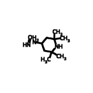 CC1(C)CC(N)CC(C)(C)N1.N=O